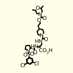 CC1CN(C(=O)OCCC2CCN(C(=O)NC[C@H](NC(=O)[C@H]3CCCN3S(=O)(=O)c3cc(Cl)cc(Cl)c3)C(=O)O)CC2)CC(C)O1